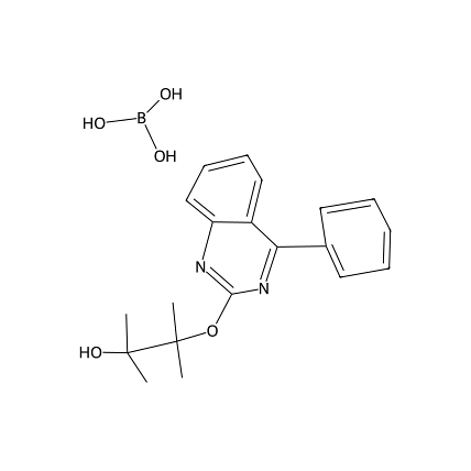 CC(C)(O)C(C)(C)Oc1nc(-c2ccccc2)c2ccccc2n1.OB(O)O